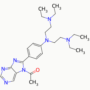 CCN(CC)CCN(CCN(CC)CC)c1ccc(-c2nc3ncncc3n2C(C)=O)cc1